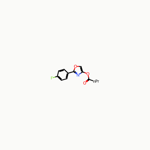 CCCC(=O)Oc1coc(-c2ccc(F)cc2)n1